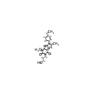 CCc1ccc(-n2c(C)cn3c4c(=O)n(CCCO)c(=O)n(C)c4nc23)cc1